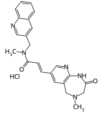 CN1CC(=O)Nc2ncc(C=CC(=O)N(C)Cc3cnc4ccccc4c3)cc2C1.Cl